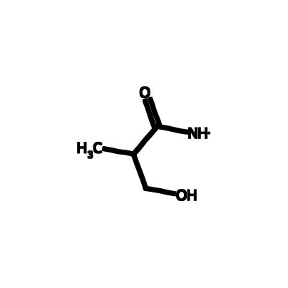 CC(CO)C([NH])=O